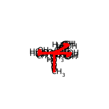 CCOCCOCCOCCOCCOCCOCCC(=O)NC(COCCC(=O)NCCCNC(=O)CCCCOC1O[C@H](CO)[C@H](O)[C@H](O)[C@H]1NC(C)=O)(COCCC(=O)NCCCNC(=O)CCCCO[C@@H]1OC(CO)[C@H](O)[C@H](O)[C@H]1NC(C)=O)COCCC(=O)NCCCNC(=O)CCCCO[C@@H]1O[C@H](CO)[C@H](O)[C@H](O)[C@H]1NC(C)=O